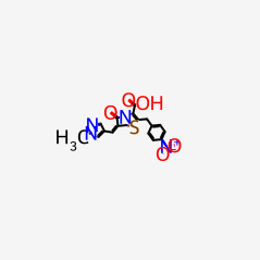 Cn1cc(C=C2C(=O)N3C(C(=O)O)=C(Cc4ccc([N+](=O)[O-])cc4)SC23)cn1